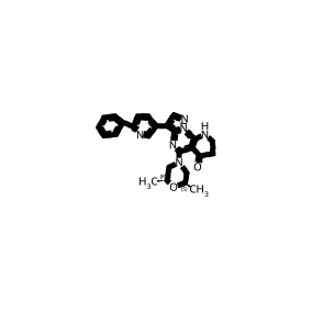 C[C@@H]1CN(c2nc3c(-c4ccc(-c5ccccc5)nc4)cnn3c3c2C(=O)CCN3)C[C@H](C)O1